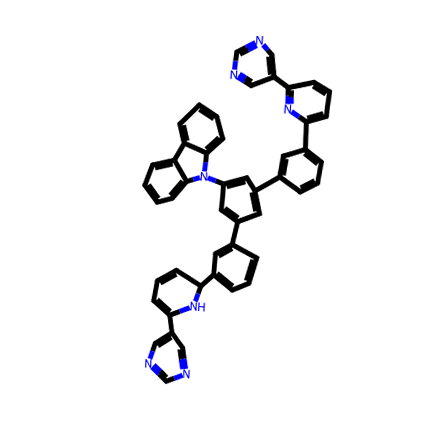 C1=CC(c2cccc(-c3cc(-c4cccc(-c5cccc(-c6cncnc6)n5)c4)cc(-n4c5ccccc5c5ccccc54)c3)c2)NC(c2cncnc2)=C1